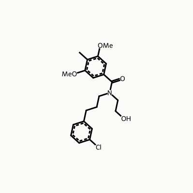 COc1cc(C(=O)N(CCO)CCCc2cccc(Cl)c2)cc(OC)c1C